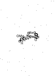 COc1ccc2ncc(=O)n(CCN3C[C@H](CNCc4nc5c(c(OC)n4)CCC(=O)N5)[C@H](O)C3)c2n1